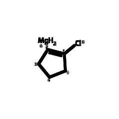 ClC1=CCCC1.[MgH2]